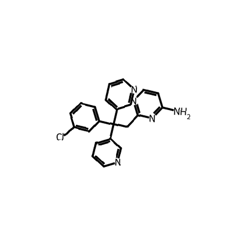 Nc1ccnc(CC(c2cccnc2)(c2cccnc2)c2cccc(Cl)c2)n1